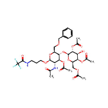 CC(=O)N[C@@H]1[C@@H](OCCCNC(=O)C(F)(F)F)O[C@@H](COCc2ccccc2)[C@H](O[C@@H]2O[C@H](COC(C)=O)[C@H](OC(C)=O)[C@H](O)[C@H]2OC(C)=O)[C@H]1OC(C)=O